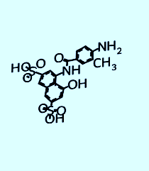 Cc1cc(C(=O)Nc2cc(S(=O)(=O)O)cc3cc(S(=O)(=O)O)cc(O)c23)ccc1N